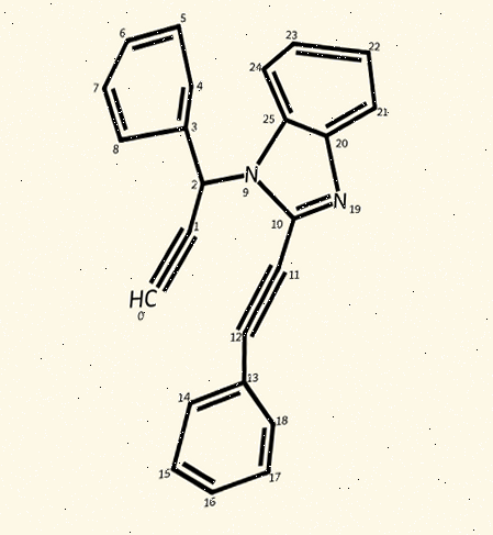 C#CC(c1ccccc1)n1c(C#Cc2ccccc2)nc2ccccc21